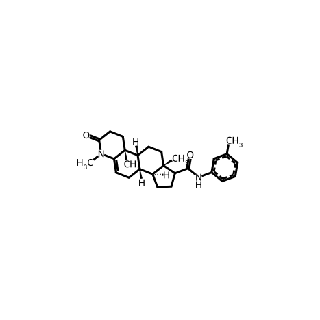 Cc1cccc(NC(=O)C2CC[C@H]3[C@@H]4CC=C5N(C)C(=O)CC[C@]5(C)[C@@H]4CC[C@]23C)c1